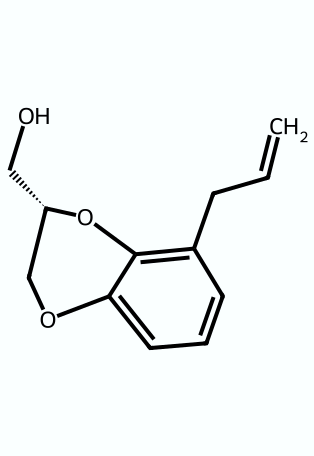 C=CCc1cccc2c1O[C@@H](CO)CO2